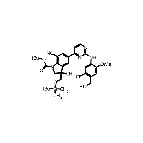 COc1cc(CO)c(Cl)cc1Nc1nccc(-c2cc(C#N)c3c(c2)C(C)(CO[Si](C)(C)C(C)(C)C)CN3C(=O)OC(C)(C)C)n1